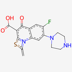 C=c1sc2c(C(=O)O)c(=O)c3cc(F)c(N4CCNCC4)cc3n12